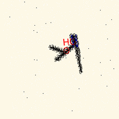 CCCCCCCCCCCCCCCCCCN(CCCCCCOCC(CCCCCCC)CCCCCCCCC)CC(O)CN1CCCC1